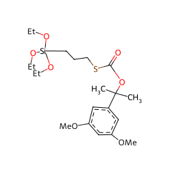 CCO[Si](CCCSC(=O)OC(C)(C)c1cc(OC)cc(OC)c1)(OCC)OCC